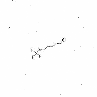 FC(F)(F)SCCCCCCl